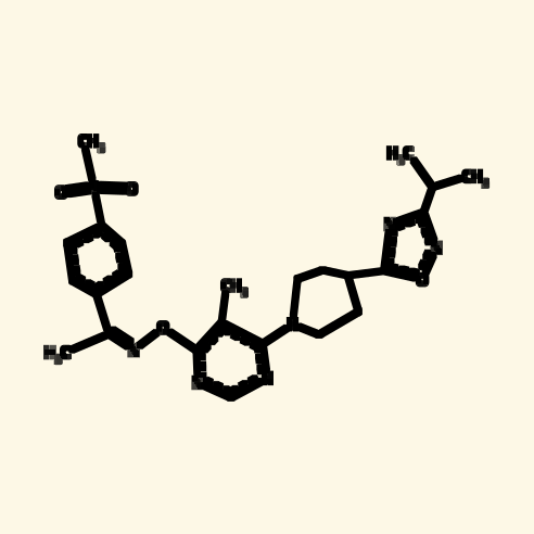 CC(=NOc1ncnc(N2CCC(c3nc(C(C)C)no3)CC2)c1C)c1ccc(S(C)(=O)=O)cc1